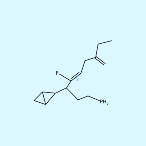 C=C(CC)C/C=C(\F)C(CCP)C1C2CC21